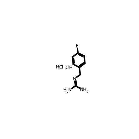 Cl.Cl.NC(N)=NCc1ccc(F)cc1